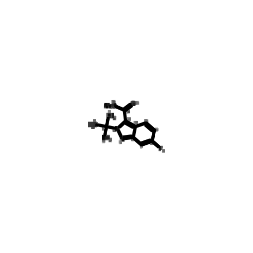 BC(B)(B)n1nc2cc(F)ccc2c1C(=O)OC